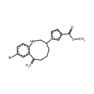 C=C1CCCC(n2ccc(C(=O)OC)c2)CNc2ccc(Br)cc21